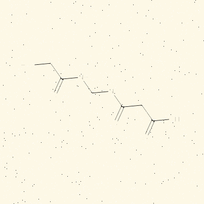 CCC(=O)NCNC(=O)CC(C)=O